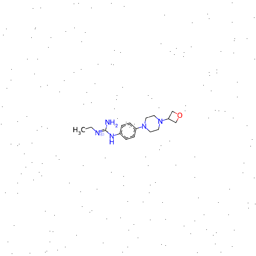 CC/N=C(\N)Nc1ccc(N2CCN(C3COC3)CC2)cc1